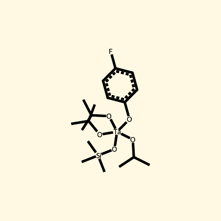 CC(C)[O][Ta]([O]c1ccc(F)cc1)([O]C(C)C)([O]C(C)C)[O][Si](C)(C)C